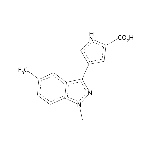 Cn1nc(-c2c[nH]c(C(=O)O)c2)c2cc(C(F)(F)F)ccc21